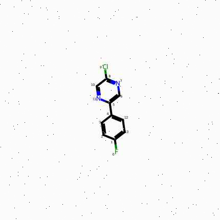 Fc1ccc(-c2cnc(Cl)cn2)cc1